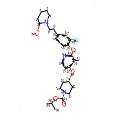 COC1CCCCN1CCc1ccc(Oc2nccc(OC3CCN(C(=O)OC(C)C)CC3)c2C)c(F)c1